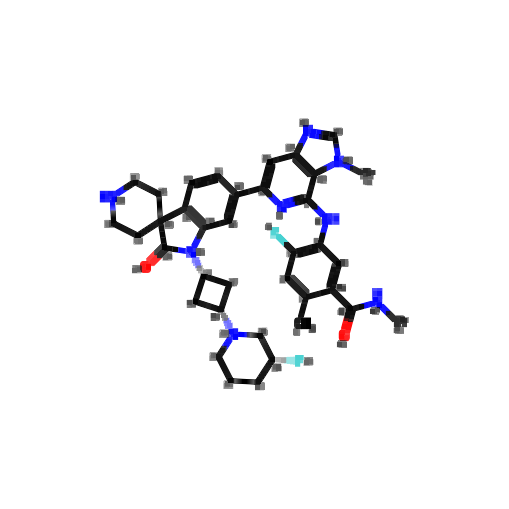 Cc1cc(F)c(Nc2nc(-c3ccc4c(c3)N([C@H]3C[C@@H](N5CCC[C@@H](F)C5)C3)C(=O)C43CCNCC3)cc3ncn(C(C)C)c23)cc1C(=O)NC(C)C